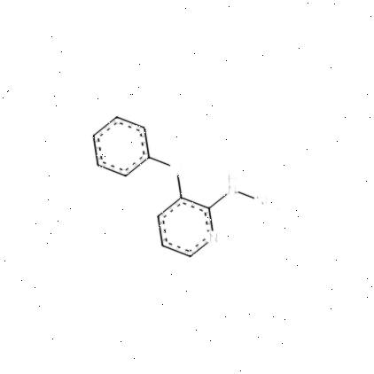 NNc1ncccc1Oc1ccccc1